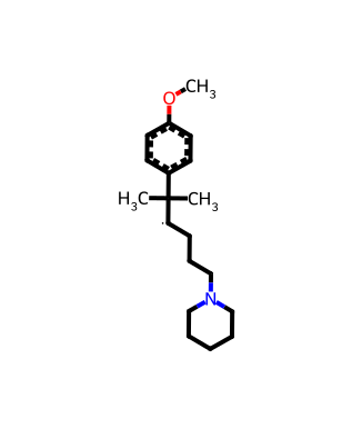 COc1ccc(C(C)(C)[CH]CCCN2CCCCC2)cc1